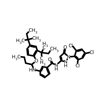 CCCC(Nc1cccc(C(=O)Nc2cc(=O)n(-c3c(Cl)cc(Cl)cc3Cl)[nH]2)c1)Oc1ccc(C(C)(C)CC)cc1C(C)(C)CC